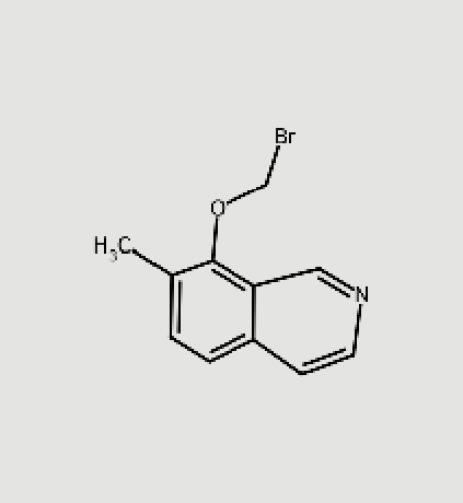 Cc1ccc2ccncc2c1OCBr